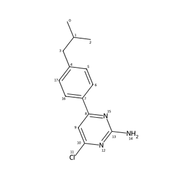 CC(C)Cc1ccc(-c2cc(Cl)nc(N)n2)cc1